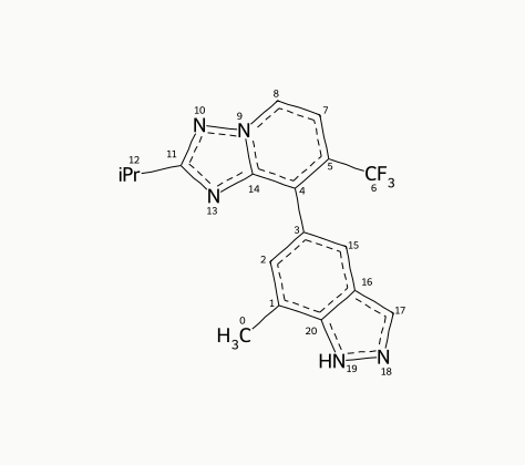 Cc1cc(-c2c(C(F)(F)F)ccn3nc(C(C)C)nc23)cc2cn[nH]c12